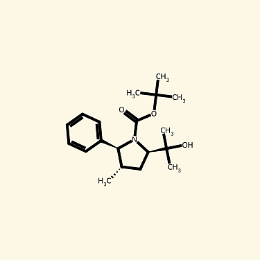 C[C@H]1C[C@H](C(C)(C)O)N(C(=O)OC(C)(C)C)[C@@H]1c1ccccc1